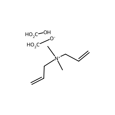 C=CC[N+](C)(C)CC=C.O=C(O)O.O=C([O-])O